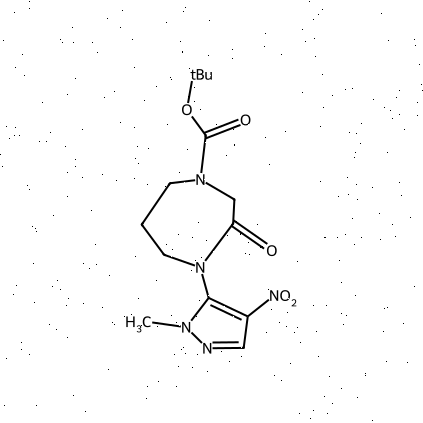 Cn1ncc([N+](=O)[O-])c1N1CCCN(C(=O)OC(C)(C)C)CC1=O